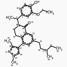 CCOc1cc(C(C)N2CCc3c(cc(CCN(C)CC)cc3-c3cn(C)nc3C)C2=O)ncc1Cl